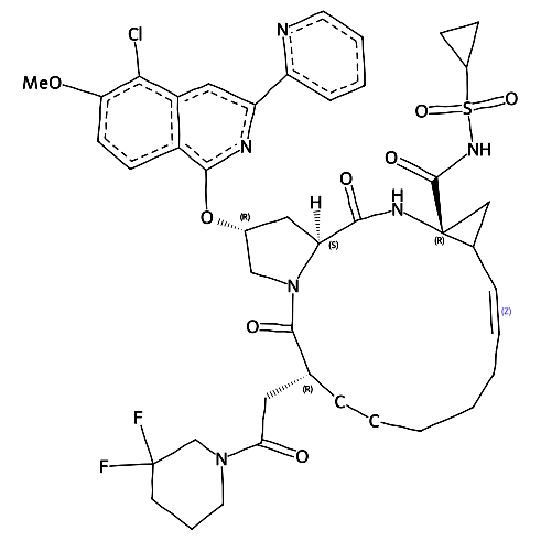 COc1ccc2c(O[C@@H]3C[C@H]4C(=O)N[C@]5(C(=O)NS(=O)(=O)C6CC6)CC5/C=C\CCCCC[C@H](CC(=O)N5CCCC(F)(F)C5)C(=O)N4C3)nc(-c3ccccn3)cc2c1Cl